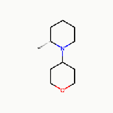 C[C@@H]1CCCCN1C1CCOCC1